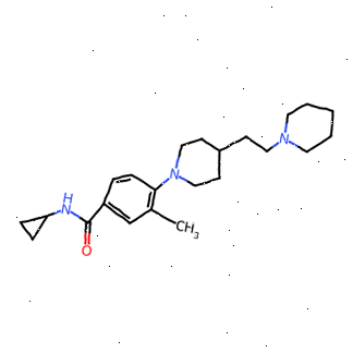 Cc1cc(C(=O)NC2CC2)ccc1N1CCC(CCN2CCCCC2)CC1